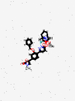 Cn1cc(-c2ccc(-c3ccc(O[C@@H]4C[C@@H]5CCC[C@@H]([C@@H]4F)N5C(=O)OC(C)(C)C)nn3)c(OCc3ccccc3)c2)oc1=O